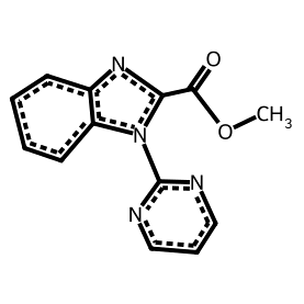 COC(=O)c1nc2ccccc2n1-c1ncccn1